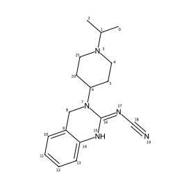 CC(C)N1CCC(N2Cc3ccccc3N/C2=N\C#N)CC1